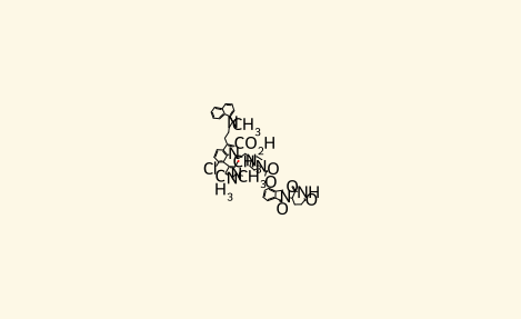 Cc1nn(C)c(C)c1-c1c(Cl)ccc2c(CCCN(C)c3cccc4ccccc34)c(C(=O)O)n(CCN3CCN(C(=O)COc4cccc5c4CN(C4CCC(=O)NC4=O)C5=O)CC3)c12